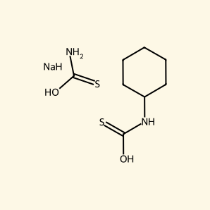 NC(O)=S.OC(=S)NC1CCCCC1.[NaH]